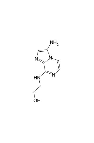 Nc1cnc2c(NCCO)nccn12